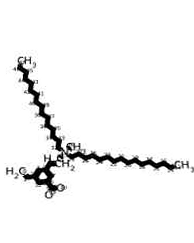 C=Cc1cc(C=C)cc(C(=O)[O-])c1.CCCCCCCCCCCCCCCC[N+](C)(C)CCCCCCCCCCCCCCCC